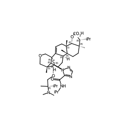 CC(C)NC(=O)c1ncnn1[C@@H]1C[C@@]23COC[C@](C)([C@@H]2CC[C@H]2C3=CC[C@]3(C)[C@H](OC(=O)O)[C@@](C)([C@H](C)C(C)C)CC[C@]23C)[C@H]1OC[C@@](C)(C(C)C)N(C)C